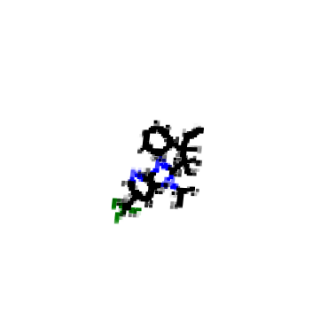 C=CC1(C)c2ccccc2N2c3ncc(C(F)(F)F)cc3N(C(C)C)C2C1(C)C